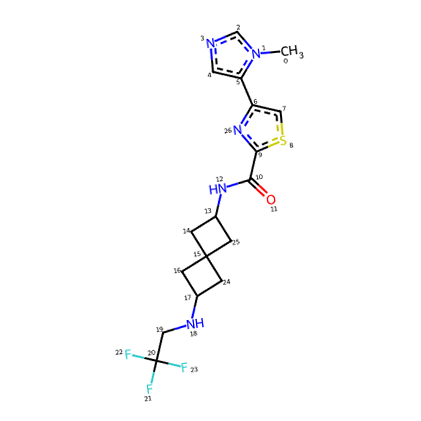 Cn1cncc1-c1csc(C(=O)NC2CC3(CC(NCC(F)(F)F)C3)C2)n1